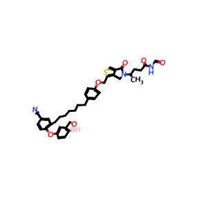 CC(CCC(=O)NC=O)N1Cc2c(csc2COc2ccc(CCCCCCCc3cc(C#N)ccc3Oc3ccc4c(c3)COB4)cc2)C1=O